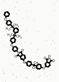 CC(C)(c1ccc(Oc2ccc3c(c2)C(=O)NC3=O)cc1)c1ccc(Oc2ccc3c(c2)C(=O)N(c2ccc(Oc4ccc(C(C)(C)c5cccc(C(C)(C)c6ccc(Oc7ccccc7)cc6)c5)cc4)cc2)C3=O)cc1